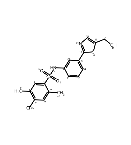 Cc1cc(S(=O)(=O)Nc2cccc(-c3ncc(CO)s3)c2)c(C)cc1Cl